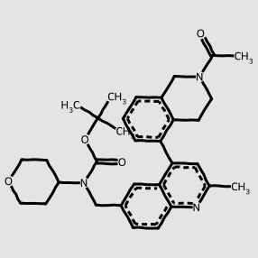 CC(=O)N1CCc2c(cccc2-c2cc(C)nc3ccc(CN(C(=O)OC(C)(C)C)C4CCOCC4)cc23)C1